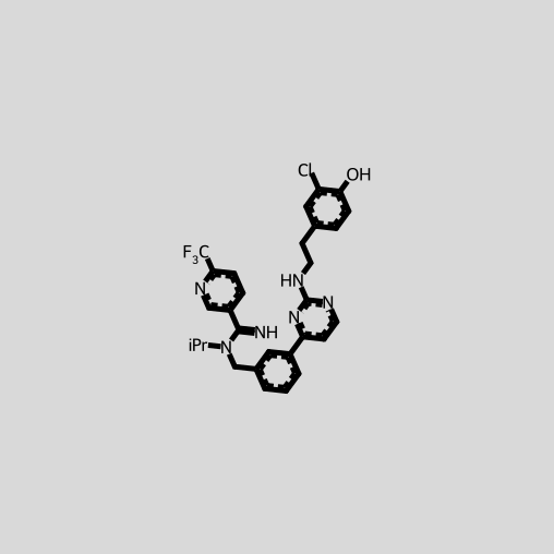 CC(C)N(Cc1cccc(-c2ccnc(NCCc3ccc(O)c(Cl)c3)n2)c1)C(=N)c1ccc(C(F)(F)F)nc1